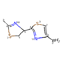 Bc1csc(C2CSC(C)=N2)n1